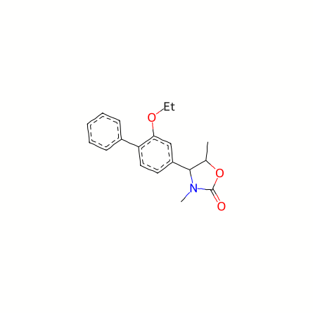 CCOc1cc(C2C(C)OC(=O)N2C)ccc1-c1ccccc1